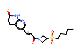 CCCCCS(=O)(=O)C1CN(C(=O)/C=C/c2cnc3c(c2)CCC(=O)N3)C1